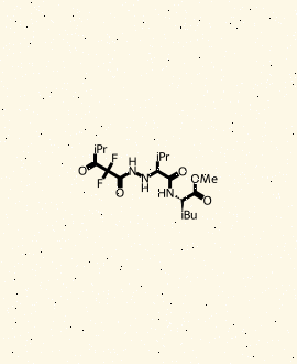 CC[C@H](C)[C@H](NC(=O)C(NNC(=O)C(F)(F)C(=O)C(C)C)C(C)C)C(=O)OC